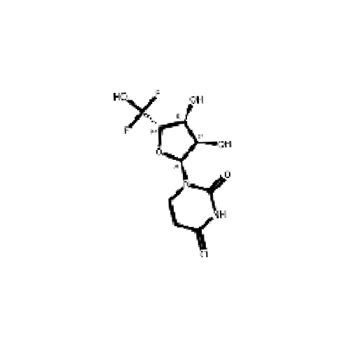 O=C1CCN([C@H]2O[C@H](C(O)(F)F)[C@@H](O)[C@H]2O)C(=O)N1